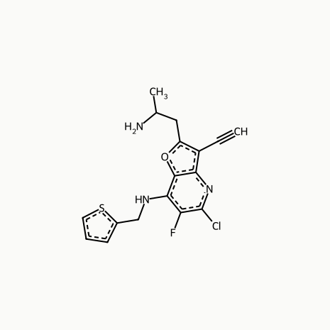 C#Cc1c(CC(C)N)oc2c(NCc3cccs3)c(F)c(Cl)nc12